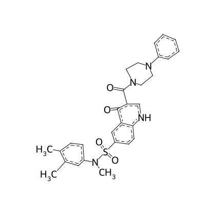 Cc1ccc(N(C)S(=O)(=O)c2ccc3[nH]cc(C(=O)N4CCN(c5ccccc5)CC4)c(=O)c3c2)cc1C